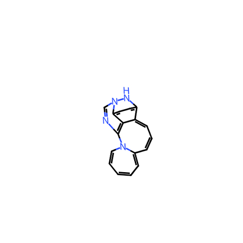 c1ccc2cccc3c4ccc5c3c(ncn5[nH]4)n2cc1